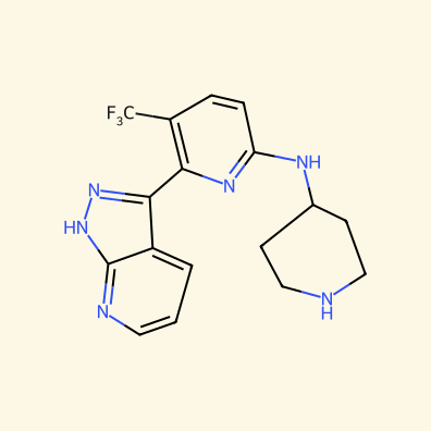 FC(F)(F)c1ccc(NC2CCNCC2)nc1-c1n[nH]c2ncccc12